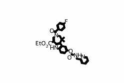 CCOC(=O)C1=CN(C(=O)c2ccc(F)cc2)CC(C)(C)c2c1[nH]c1ccc(OC(=O)NCc3ccccn3)cc21